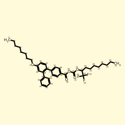 CCCCCCCCOc1ccc(-c2ccc(C(=O)OC(=O)OC(CCCCCCCC)C(F)(F)F)cc2)c(-c2ccccc2)c1